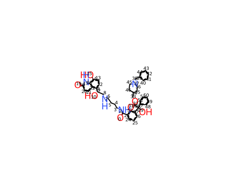 O=C(NCCCCNCC(O)c1ccc(O)c2[nH]c(=O)ccc12)c1cccc(C(O)(C(=O)OCC2CCN(Cc3ccccc3)CC2)c2ccccc2)c1